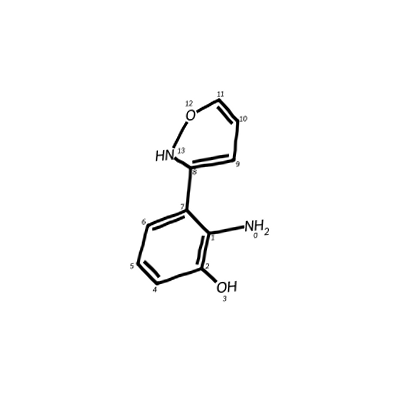 Nc1c(O)cccc1C1=CC=CON1